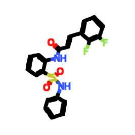 O=C(C=Cc1cccc(F)c1F)Nc1ccccc1S(=O)(=O)Nc1ccccc1